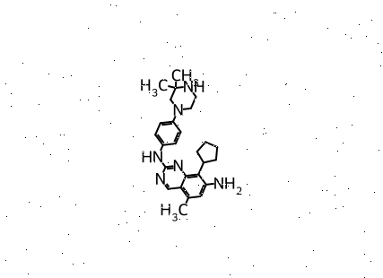 Cc1cc(N)c(C2CCCC2)c2nc(Nc3ccc(N4CCNC(C)(C)C4)cc3)ncc12